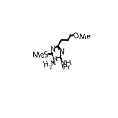 COCCCC1=NC(NC(C)C)N(N)C(SC)=N1